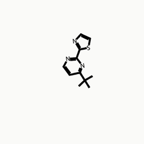 CC(C)(C)c1ccnc(-c2nccs2)n1